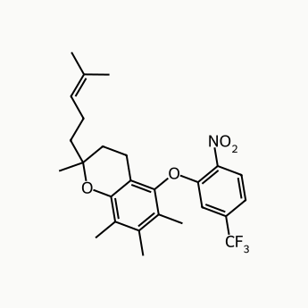 CC(C)=CCCC1(C)CCc2c(Oc3cc(C(F)(F)F)ccc3[N+](=O)[O-])c(C)c(C)c(C)c2O1